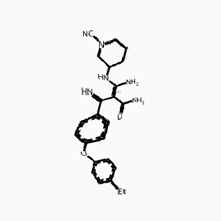 CCc1ccc(Oc2ccc(C(=N)/C(C(N)=O)=C(/N)NC3CCCN(C#N)C3)cc2)cc1